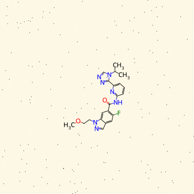 COCCn1ncc2cc(F)c(C(=O)Nc3cccc(-c4nncn4C(C)C)n3)cc21